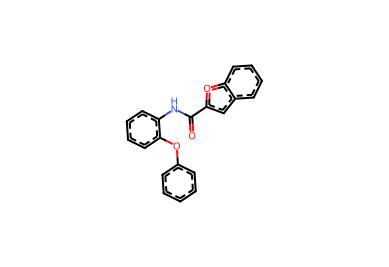 O=C(Nc1ccccc1Oc1ccccc1)c1cc2ccccc2o1